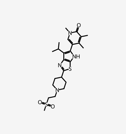 Cc1c(-c2[nH]c3sc(C4CCN(CCS(C)(=O)=O)CC4)nc3c2C(C)C)cn(C)c(=O)c1C